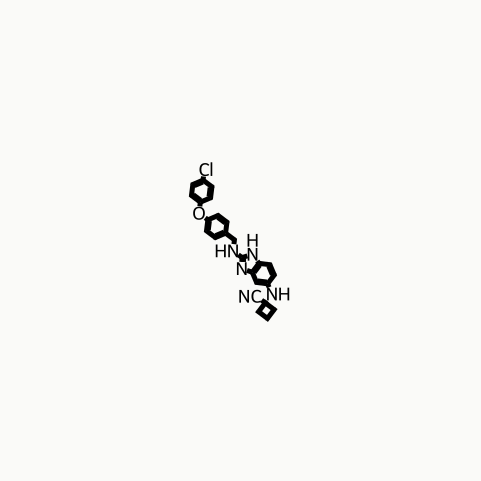 N#CC1(Nc2ccc3[nH]c(NCc4ccc(Oc5ccc(Cl)cc5)cc4)nc3c2)CCC1